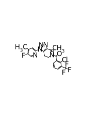 Cc1cc(-n2nnc3c2CCN(C(=O)c2cccc(C(F)(F)F)c2Cl)[C@H]3C)ncc1F